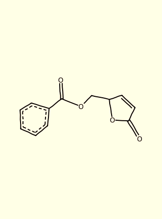 O=C1C=CC(COC(=O)c2ccccc2)O1